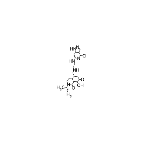 CC(C)N1CCC2C(CNCCNc3cc4[nH]ncc4c(Cl)n3)=CC(=O)C(O)=C2C1=O